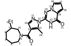 CCC1CCCCN(C(=O)c2cnn(-c3nn4cccc4c(=O)[nH]3)c2C)C1